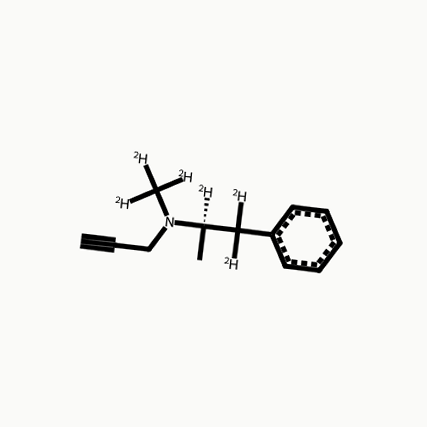 [2H]C([2H])([2H])N(CC#C)[C@]([2H])(C)C([2H])([2H])c1ccccc1